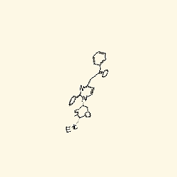 CC[C@H]1OC[C@@H](n2ccc(CC(=O)c3ccccc3)nc2=O)S1